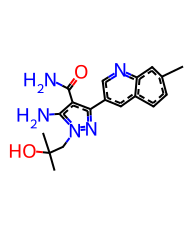 Cc1ccc2cc(-c3nn(CC(C)(C)O)c(N)c3C(N)=O)cnc2c1